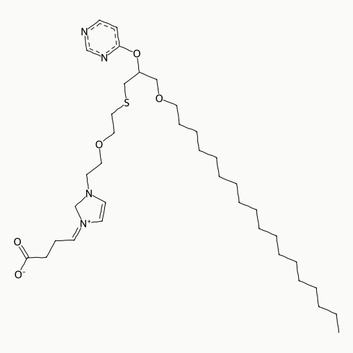 CCCCCCCCCCCCCCCCCCOCC(CSCCOCCN1C=C[N+](=CCCC(=O)[O-])C1)Oc1ccncn1